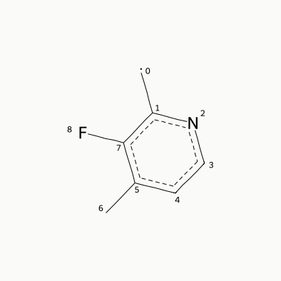 [CH2]c1nccc(C)c1F